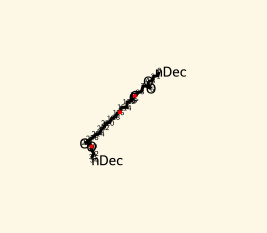 CCCCCCCCCCCCCOC(=O)CCCCCCCCCCCCCCCCCCCCCC(=O)OCCCCCCCCCCCCC